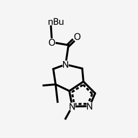 CCCCOC(=O)N1Cc2cnn(C)c2C(C)(C)C1